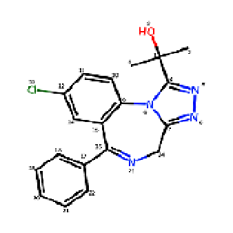 CC(C)(O)c1nnc2n1-c1ccc(Cl)cc1C(c1ccccc1)=NC2